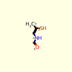 CC(S)=CNC=O